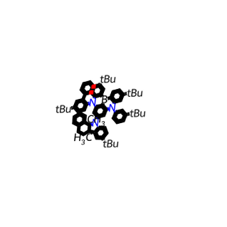 CC(C)(C)c1cccc(N2c3cc(C(C)(C)C)ccc3B3c4cc(C(C)(C)C)ccc4N(c4ccc(C(C)(C)C)cc4-c4ccccc4)c4cc(N5c6ccc(C(C)(C)C)cc6C6(C)CCc7ccccc7C56C)cc2c43)c1